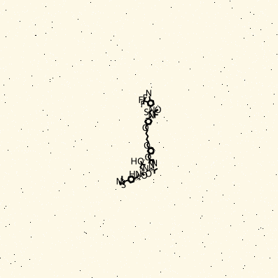 Cc1ncsc1-c1ccc([C@H](C)NC(=O)[C@@H]2CC(O)CN2C(=O)[C@H](C(C)C)n2cc(Oc3cccc(OCCCCCOc4ccc(N5C(=S)N(c6ccc(C#N)c(C(F)(F)F)c6)C(=O)C5(C)C)cc4)c3)cn2)cc1